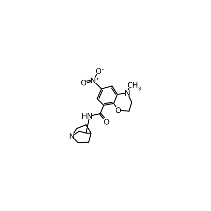 CN1CCOc2c(C(=O)NC3CN4CCC3CC4)cc([N+](=O)[O-])cc21